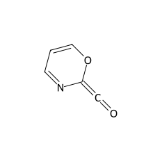 O=C=C1N=CC=CO1